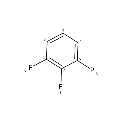 Fc1cccc([P])c1F